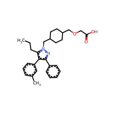 CCCc1c(-c2cccc(C)c2)c(-c2ccccc2)nn1CC1CCC(COCC(=O)O)CC1